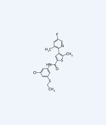 CCSc1cc(Cl)cc(NC(=O)c2cc(-c3ncc(F)cc3C)c(C)s2)c1